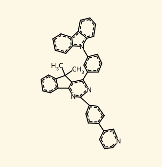 CC1(C)c2ccccc2-c2nc(-c3ccc(-c4cccnc4)cc3)nc(-c3cccc(-n4c5ccccc5c5ccccc54)c3)c21